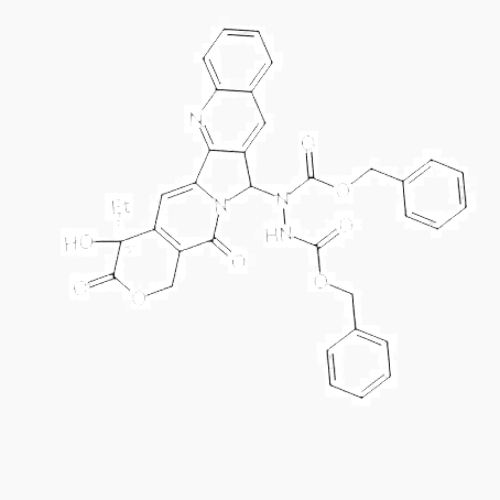 CC[C@@]1(O)C(=O)OCc2c1cc1n(c2=O)C(N(NC(=O)OCc2ccccc2)C(=O)OCc2ccccc2)c2cc3ccccc3nc2-1